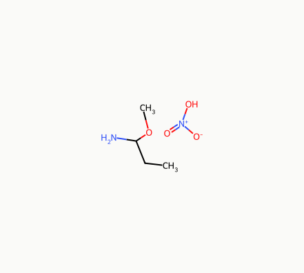 CCC(N)OC.O=[N+]([O-])O